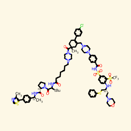 Cc1ncsc1-c1ccc([C@H](C)NC(=O)[C@@H]2CCCN2C(=O)C(NC(=O)CCCCCCN2CCN(C(=O)C3(C)CCC(c4ccc(Cl)cc4)=C(CN4CCN(c5ccc(C(=O)NS(=O)(=O)c6ccc(N[C@H](CCN7CCOCC7)CSc7ccccc7)c(S(=O)(=O)C(F)(F)F)c6)cc5)CC4)C3)CC2)C(C)(C)C)cc1